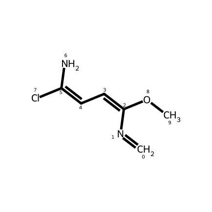 C=N/C(=C\C=C(/N)Cl)OC